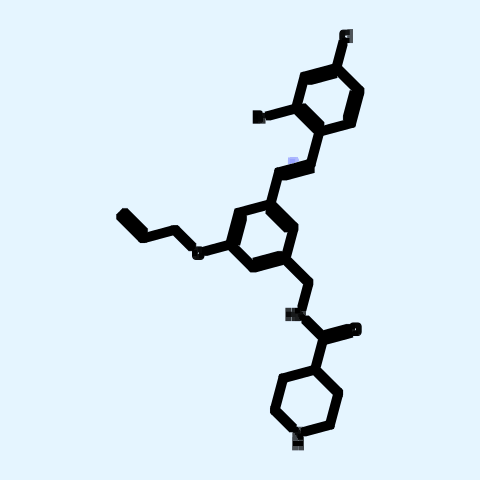 C=CCOc1cc(/C=C/c2ccc(Cl)cc2Br)cc(CNC(=O)C2CCNCC2)c1